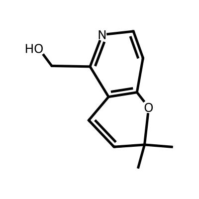 CC1(C)C=Cc2c(ccnc2CO)O1